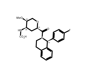 CO[C@H]1CO[C@@H](C(=O)N2CCc3ccccc3[C@@H]2c2ccc(F)cc2)C[C@H]1NC(=O)O